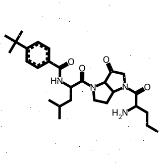 CCCC(N)C(=O)N1CC(=O)C2C1CCN2C(=O)C(CC(C)C)NC(=O)c1ccc(C(C)(C)C)cc1